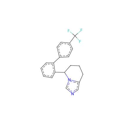 FC(F)(F)c1ccc(-c2ccccc2C2CCCc3cncn32)cc1